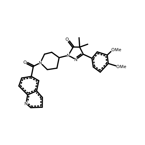 COc1ccc(C2=NN(C3CCN(C(=O)c4ccc5ncccc5c4)CC3)C(=O)C2(C)C)cc1OC